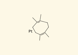 CC1=C(C)CCC(C)=C(C)CC1.[Pt]